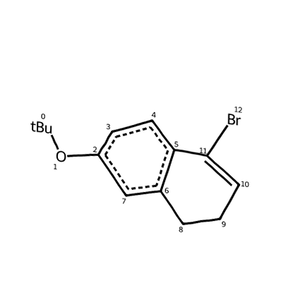 CC(C)(C)Oc1ccc2c(c1)CCC=C2Br